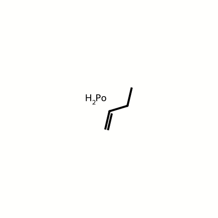 C=CCC.[PoH2]